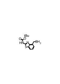 BCc1cccc2sc(NC(=O)OC(C)(C)C)nc12